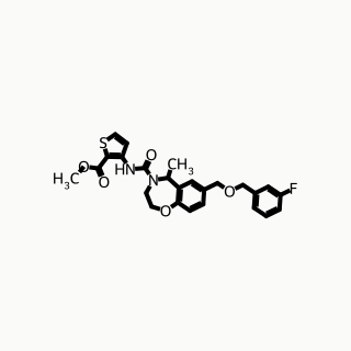 COC(=O)c1sccc1NC(=O)N1CCOc2ccc(COCc3cccc(F)c3)cc2C1C